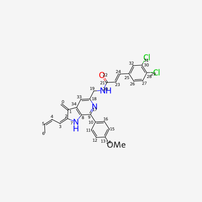 C=c1/c(=C\C=C/C)[nH]c2c(-c3ccc(OC)cc3)nc(CNC(=O)/C=C/c3ccc(Cl)c(Cl)c3)cc12